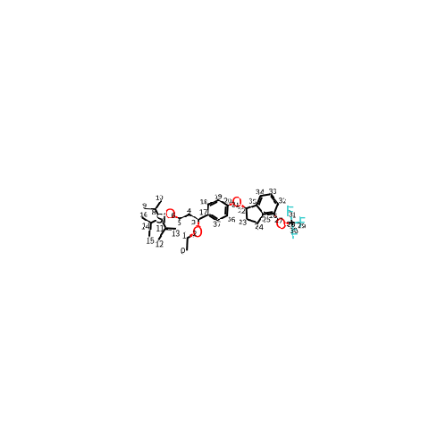 CCO[C@@H](CCO[Si](C(C)C)(C(C)C)C(C)C)c1ccc(O[C@@H]2CCc3c(OC(F)(F)F)cccc32)cc1